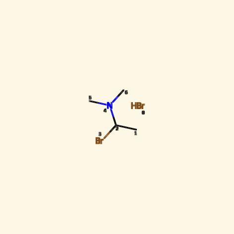 Br.CC(Br)N(C)C